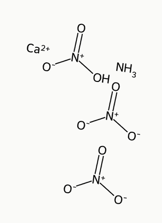 N.O=[N+]([O-])O.O=[N+]([O-])[O-].O=[N+]([O-])[O-].[Ca+2]